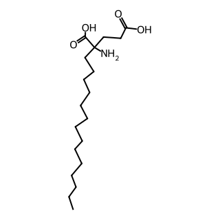 CCCCCCCCCCCCCCC(N)(CCC(=O)O)C(=O)O